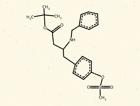 CC(C)(C)OC(=O)CC(Cc1ccc(OS(C)(=O)=O)cc1)NCc1ccccc1